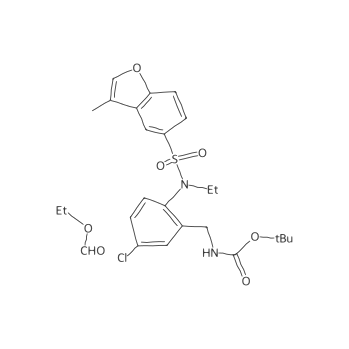 CCN(c1ccc(Cl)cc1CNC(=O)OC(C)(C)C)S(=O)(=O)c1ccc2occ(C)c2c1.CCOC=O